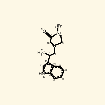 CC(CN1CCN(C(C)C)C(=O)C1)c1c[nH]c2ccccc12